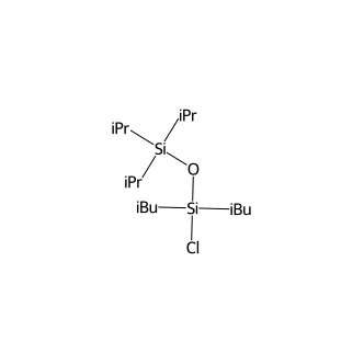 CCC(C)[Si](Cl)(O[Si](C(C)C)(C(C)C)C(C)C)C(C)CC